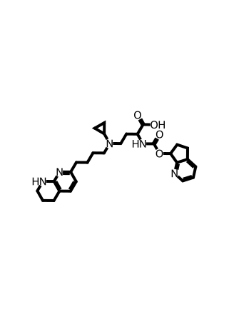 O=C(NC(CCN(CCCCc1ccc2c(n1)NCCC2)C1CC1)C(=O)O)OC1CCc2cccnc21